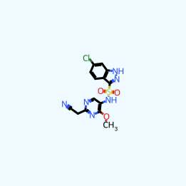 COc1nc(CC#N)ncc1NS(=O)(=O)c1n[nH]c2cc(Cl)ccc12